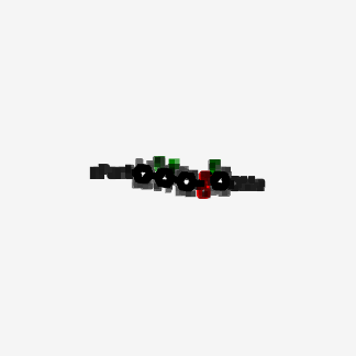 CCCCCc1ccc(-c2ccc(C3CCC(C(=O)Oc4ccc(OC)cc4F)CC3)c(F)c2F)cc1